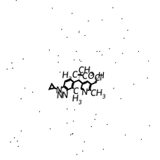 Cc1ncc([C@H](c2ccc3c(nnn3C3CC3)c2C)C(C)(C)C(=O)O)cc1CCl